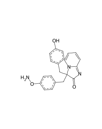 NOc1ccc(CC2(Cc3ccc(O)cc3)C(=O)N=C3C=CC=CN32)cc1